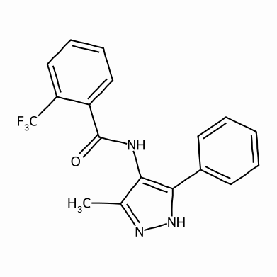 Cc1n[nH]c(-c2ccccc2)c1NC(=O)c1ccccc1C(F)(F)F